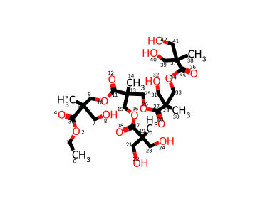 CCOC(=O)C(C)(CO)COC(=O)C(C)(COC(=O)C(C)(CO)CO)COC(=O)C(C)(CO)COC(=O)C(C)(CO)CO